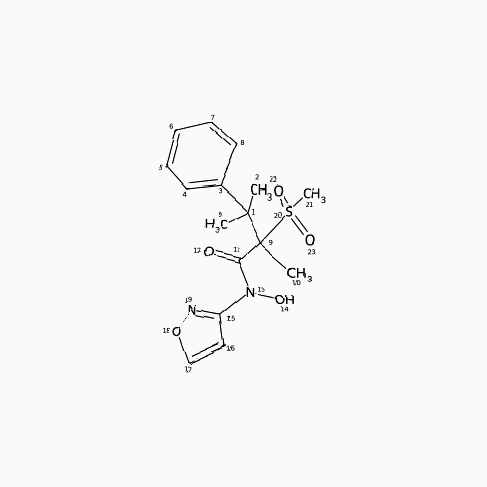 CC(C)(c1ccccc1)C(C)(C(=O)N(O)c1ccon1)S(C)(=O)=O